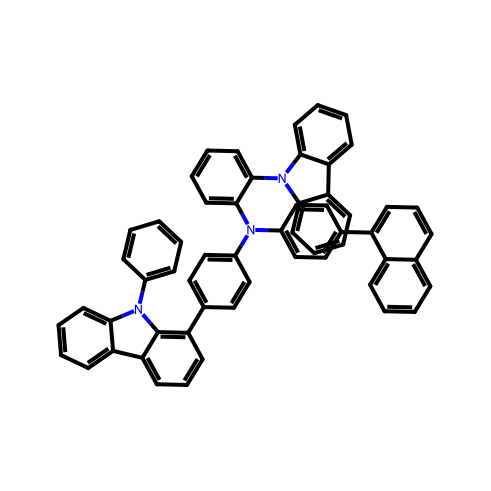 c1ccc(-n2c3ccccc3c3cccc(-c4ccc(N(c5ccc(-c6cccc7ccccc67)cc5)c5ccccc5-n5c6ccccc6c6ccccc65)cc4)c32)cc1